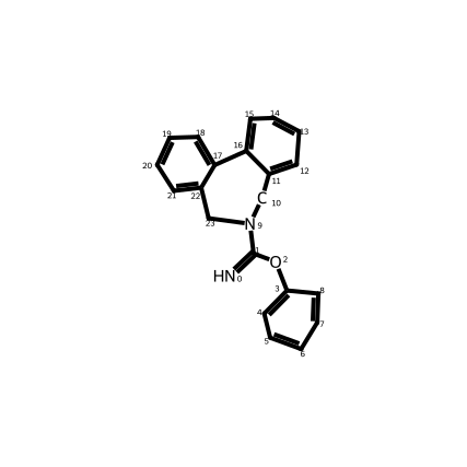 N=C(Oc1ccccc1)N1Cc2ccccc2-c2ccccc2C1